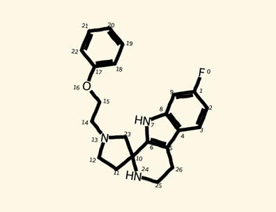 Fc1ccc2c3c([nH]c2c1)C1(CCN(CCOc2ccccc2)C1)NCC3